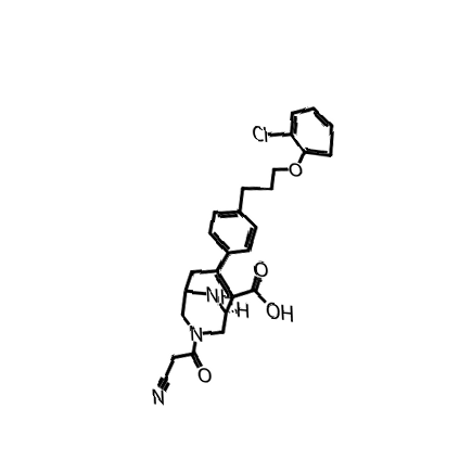 N#CCC(=O)N1CC2CC(c3ccc(CCCOc4ccccc4Cl)cc3)=C(C(=O)O)[C@@H](C1)N2